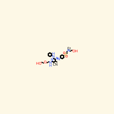 CCN(CCO)CCS(=O)(=O)c1ccc(/N=N/c2c(Nc3ccccc3)nc(NCCOCCO)c(C#N)c2C)cc1